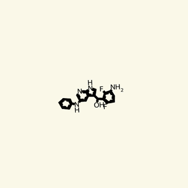 Nc1ccc(F)c(C(O)c2c[nH]c3ncc(Nc4ccccc4)cc23)c1F